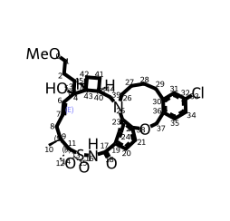 COCCC[C@@]1(O)/C=C/C[C@H](C)[C@@H](C)S(=O)(=O)NC(=O)c2ccc3c(c2)N(CCCCc2cc(Cl)ccc2CO3)C[C@@H]2CC[C@H]21